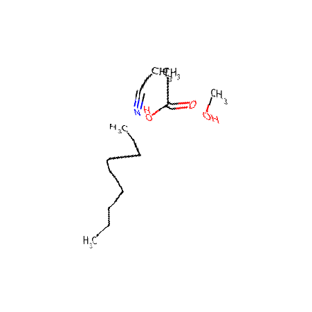 CC#N.CC(=O)O.CCCCCCC.CO